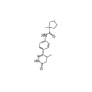 CC1CC(=O)NN=C1c1ccc(NC(=O)C2(C)CCCC2)cc1